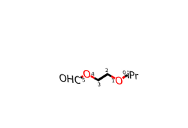 CC(C)OCCOC=O